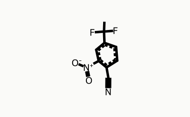 CC(F)(F)c1ccc(C#N)c([N+](=O)[O-])c1